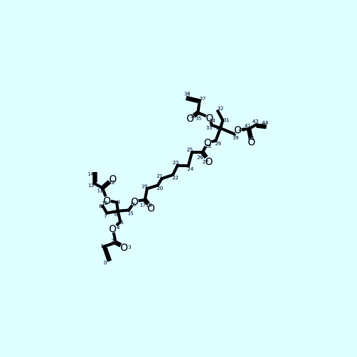 C=CC(=O)OCC(CC)(COC(=O)C=C)COC(=O)CCCCCCCC(=O)OCC(CC)(COC(=O)C=C)COC(=O)C=C